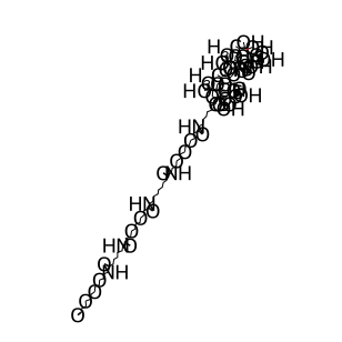 CC1C(OC2C(C(=O)O)OC(OC3C(COS(=O)(=O)O)OC(OC4C(C(=O)O)OC(OCCCCCCNC(=O)CCOCCOCCOCCNC(=O)CCCCCCCNC(=O)CCOCCCOCCC(=O)NCCCCCC(=O)NCCOCCOCCOCCC=O)C(OS(=O)(=O)O)C4O)C(C)C3O)C(OS(=O)(=O)O)C2O)OC(COS(=O)(=O)O)C(O)C1O